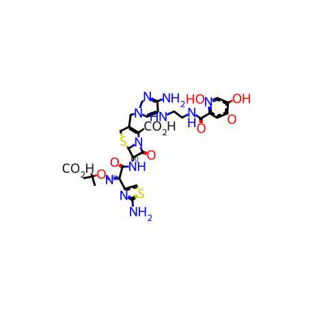 CC(C)(O/N=C(\C(=O)N[C@@H]1C(=O)N2C(C(=O)O)=C(CN3C=C(NCCNC(=O)c4cc(=O)c(O)cn4O)C(N)=NC3)CSC12)c1csc(N)n1)C(=O)O